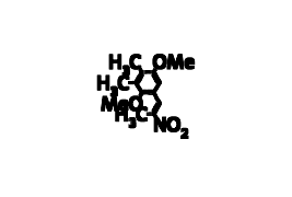 COc1cc(C=C(C)[N+](=O)[O-])c(OC)c(C)c1C